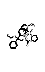 Cn1ccnc1S(=O)(=O)N1CCC[C@H]1C(=O)OCC(OC(F)F)(c1ccccc1)c1cccc[n+]1[O-]